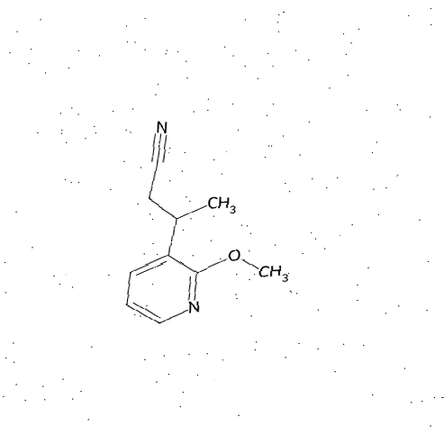 COc1ncccc1C(C)CC#N